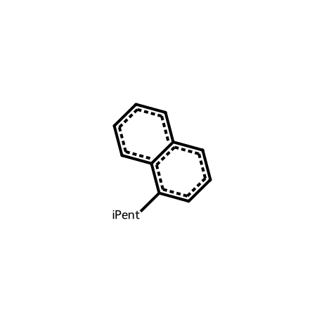 [CH2]CCC(C)c1cccc2ccccc12